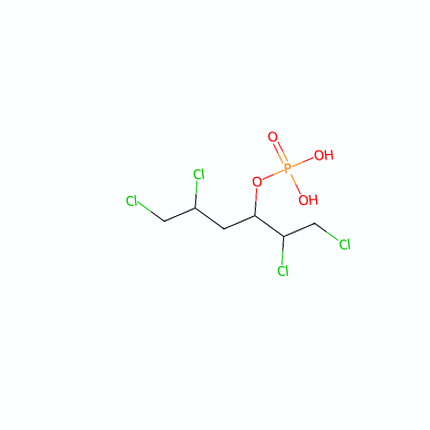 O=P(O)(O)OC(CC(Cl)CCl)C(Cl)CCl